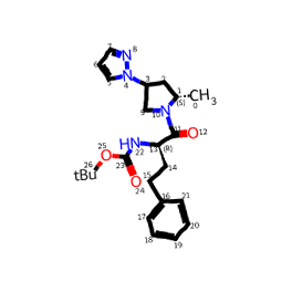 C[C@H]1CC(n2cccn2)CN1C(=O)[C@@H](CCc1ccccc1)NC(=O)OC(C)(C)C